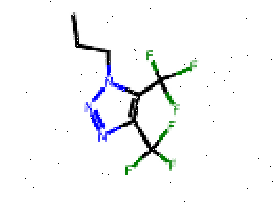 CCCn1nnc(C(F)(F)F)c1C(F)(F)F